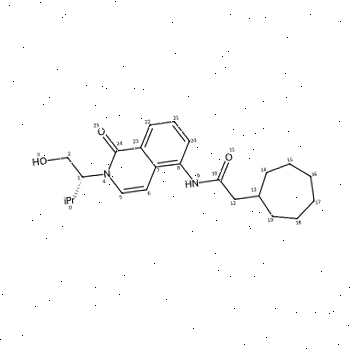 CC(C)[C@H](CO)n1ccc2c(NC(=O)CC3CCCCCC3)cccc2c1=O